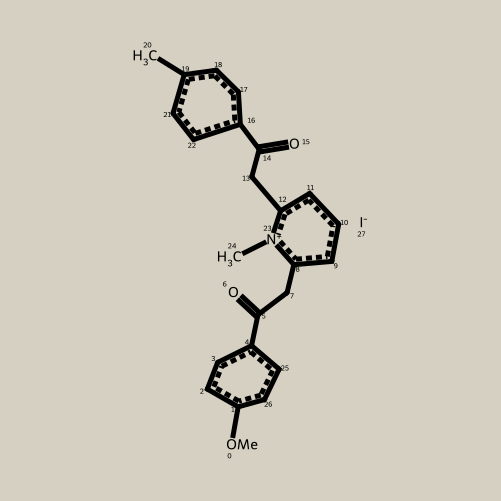 COc1ccc(C(=O)Cc2cccc(CC(=O)c3ccc(C)cc3)[n+]2C)cc1.[I-]